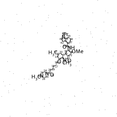 COc1cc(C(=O)N(C)c2ccc(C)cc2OCCCCCC(=O)N2CCN(C)CC2)ccc1NC(=O)c1cccc2c1ccn2C(C)C